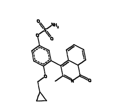 CC1=NC(=O)C2C=CC=CC2=C1c1cc(OS(N)(=O)=O)ccc1OCC1CC1